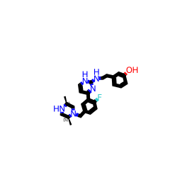 C[C@H]1CN(Cc2ccc(F)c(C3=NC(NCCc4cccc(O)c4)NC=C3)c2)[C@@H](C)CN1